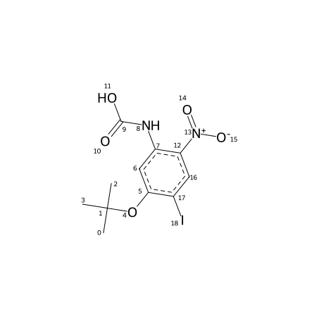 CC(C)(C)Oc1cc(NC(=O)O)c([N+](=O)[O-])cc1I